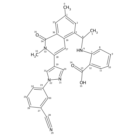 Cc1cc(C(C)Nc2ccccc2C(=O)O)c2cc(-c3cnn(-c4cccc(C#N)c4)c3)n(C)c(=O)c2c1